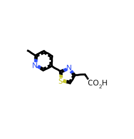 Cc1ccc(-c2nc(CC(=O)O)cs2)cn1